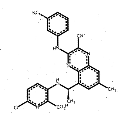 Cc1cc([C@@H](C)Nc2ccc(Cl)nc2C(=O)O)c2nc(Nc3cccc(C#N)c3)c(C#N)nc2c1